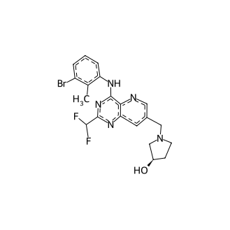 Cc1c(Br)cccc1Nc1nc(C(F)F)nc2cc(CN3CC[C@@H](O)C3)cnc12